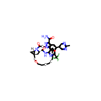 Cc1ncc(-c2cc3c4c(c2)c(C(N)=O)nn4CC(=O)N2[C@H](C(=O)Nc4nc(C(F)(F)F)ccc4C)C[C@@]4(COCCCCCCC3)C[C@@H]24)cn1